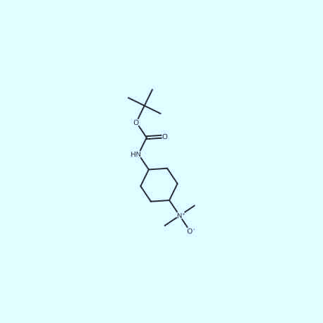 CC(C)(C)OC(=O)NC1CCC([N+](C)(C)[O-])CC1